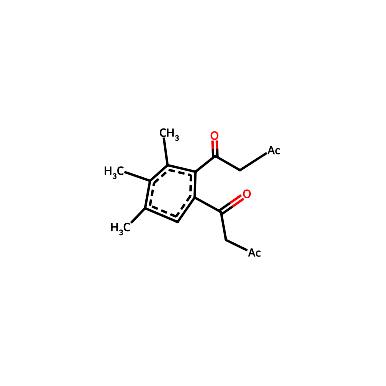 CC(=O)CC(=O)c1cc(C)c(C)c(C)c1C(=O)CC(C)=O